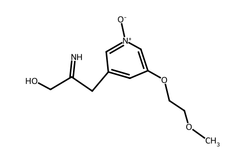 COCCOc1cc(CC(=N)CO)c[n+]([O-])c1